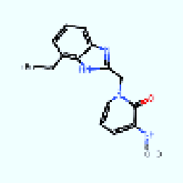 CC(C)(C)Cc1cccc2nc(Cn3cccc(NC=O)c3=O)[nH]c12